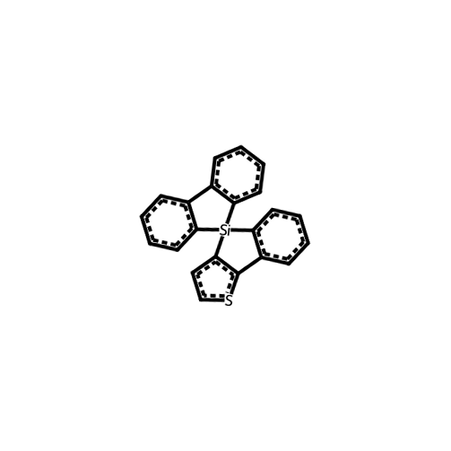 c1ccc2c(c1)-c1ccccc1[Si]21c2ccccc2-c2sccc21